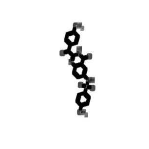 Cc1ccc(C(=O)c2nc3ccc(NS(=O)(=O)c4ccc(C)cc4)cc3c(=O)[nH]2)cc1